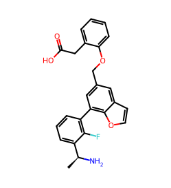 C[C@H](N)c1cccc(-c2cc(COc3ccccc3CC(=O)O)cc3ccoc23)c1F